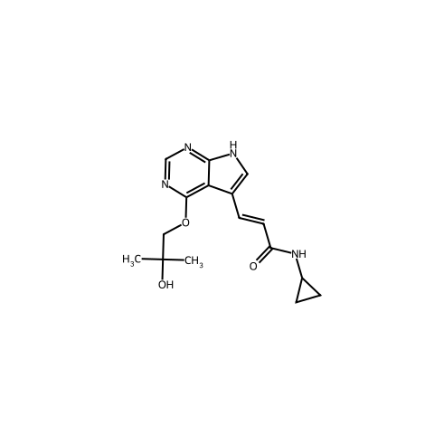 CC(C)(O)COc1ncnc2[nH]cc(C=CC(=O)NC3CC3)c12